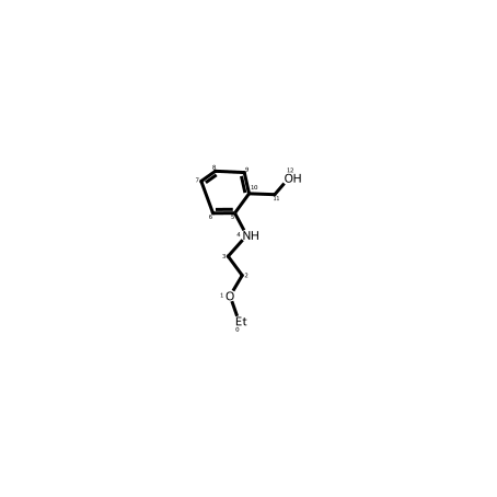 CCOCCNc1ccccc1CO